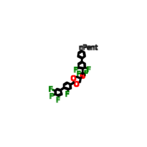 CCCCCc1ccc(-c2cc(F)c(C(F)(F)OC3COC(c4ccc(-c5cc(F)c(F)c(F)c5)c(F)c4)OC3)c(F)c2)cc1